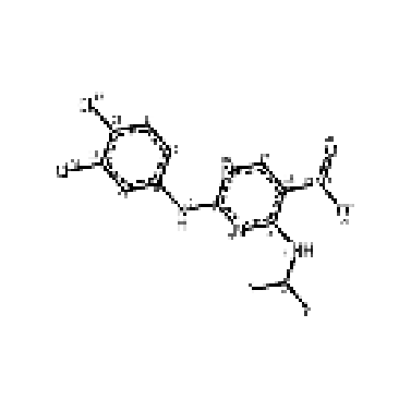 CC(C)Nc1nc(Nc2ccc(Cl)c(Cl)c2)ncc1[N+](=O)[O-]